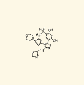 CC(C)c1cc(-c2nnc(SCc3cccnc3)n2-c2ccc(N3CCOCC3)cc2)c(O)cc1O